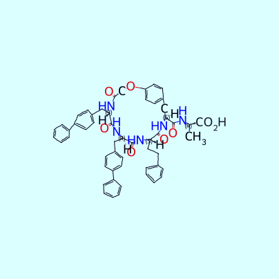 C[C@@H](NC(=O)[C@@H]1Cc2ccc(cc2)OCC(=O)N[C@@H](Cc2ccc(-c3ccccc3)cc2)C(=O)N[C@H](Cc2ccc(-c3ccccc3)cc2)C(=O)N[C@@H](CCc2ccccc2)C(=O)N1)C(=O)O